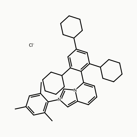 Cc1cc(C)c(-[n+]2cc3cccc(-c4c(C5CCCCC5)cc(C5CCCCC5)cc4C4CCCCC4)n3c2)c(C)c1.[Cl-]